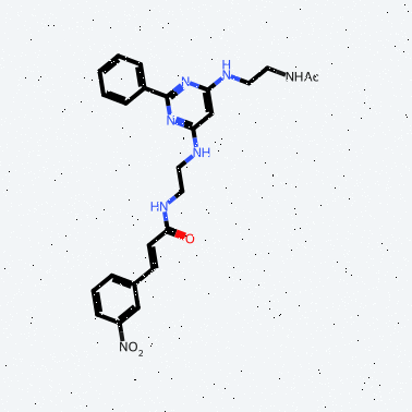 CC(=O)NCCNc1cc(NCCNC(=O)C=Cc2cccc([N+](=O)[O-])c2)nc(-c2ccccc2)n1